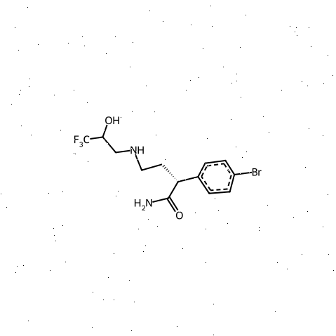 NC(=O)[C@H](CCNCC(O)C(F)(F)F)c1ccc(Br)cc1